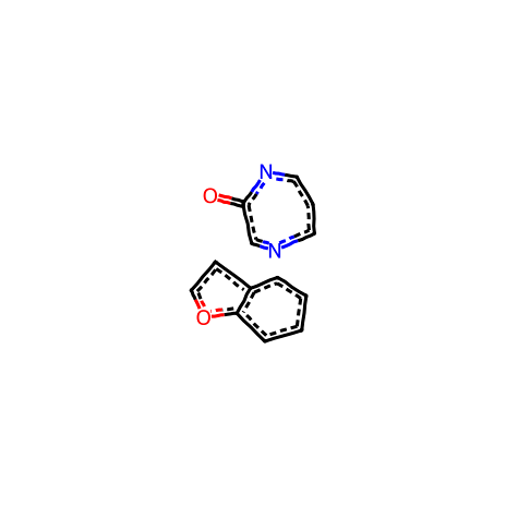 O=c1cncccn1.c1ccc2occc2c1